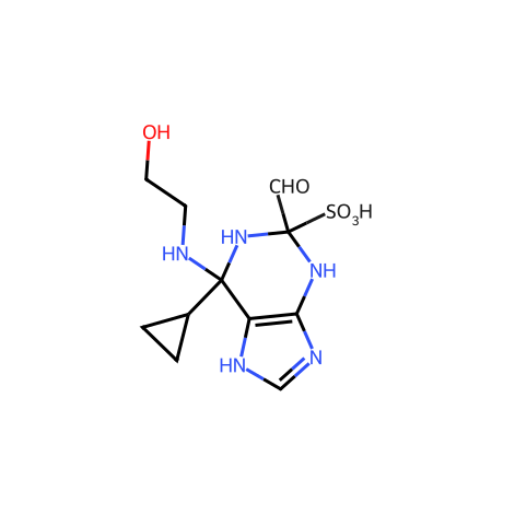 O=CC1(S(=O)(=O)O)Nc2nc[nH]c2C(NCCO)(C2CC2)N1